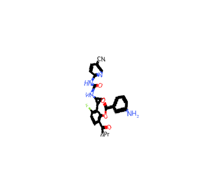 CCCC(=O)c1ccc(F)c(C2CC2NC(=O)Nc2ccc(C#N)cn2)c1OC(=O)c1cccc(N)c1